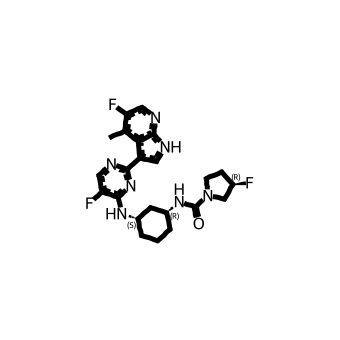 Cc1c(F)cnc2[nH]cc(-c3ncc(F)c(N[C@H]4CCC[C@@H](NC(=O)N5CC[C@@H](F)C5)C4)n3)c12